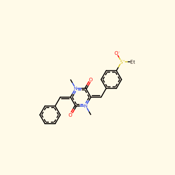 CC[S+]([O-])c1ccc(C=c2c(=O)n(C)c(=Cc3ccccc3)c(=O)n2C)cc1